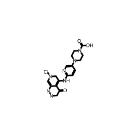 O=C1CN=NC2=CN(Cl)CC(Nc3ccc(N4CCN(C(=O)O)CC4)cn3)=C12